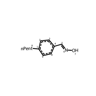 CCCCCc1ccc(C=NO)cc1